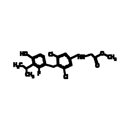 COC(=O)CNCc1cc(Cl)c(Cc2ccc(O)c(C(C)C)c2F)c(Cl)c1